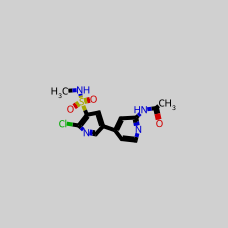 CNS(=O)(=O)c1cc(-c2ccnc(NC(C)=O)c2)cnc1Cl